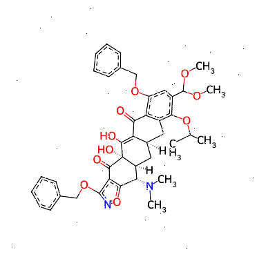 COC(OC)c1cc(OCc2ccccc2)c2c(c1OC(C)C)C[C@H]1C[C@H]3[C@H](N(C)C)c4onc(OCc5ccccc5)c4C(=O)[C@@]3(O)C(O)=C1C2=O